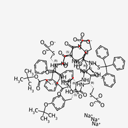 C[C@H](NC(=O)[C@@H]1CCCN1C(=O)[C@H](CC(=O)NC(c1ccccc1)(c1ccccc1)c1ccccc1)NC(=O)[C@H](CSC(c1ccccc1)(c1ccccc1)c1ccccc1)NC(=O)[C@H](CSS(=O)(=O)[O-])NC(=O)[C@H](Cc1ccc(OC(C)(C)C)cc1)NC(=O)[C@H](CCC(=O)OC(C)(C)C)NC(=O)[C@H](CSS(=O)(=O)[O-])NC(=O)[C@@H](N)CSS(=O)(=O)[O-])C(=O)N[C@@H](CS)C(=O)O.[Na+].[Na+].[Na+]